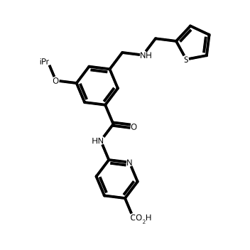 CC(C)Oc1cc(CNCc2cccs2)cc(C(=O)Nc2ccc(C(=O)O)cn2)c1